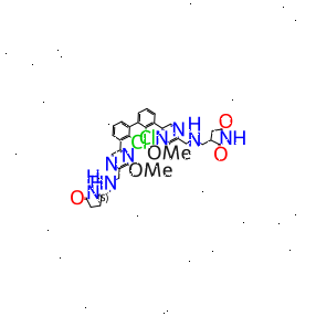 COc1nc(-c2cccc(-c3cccc(-c4cnc(CNC[C@@H]5CCC(=O)N5)c(OC)n4)c3Cl)c2Cl)cnc1CNCC1CC(=O)NC1=O